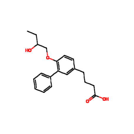 CCC(O)COc1ccc(CCCC(=O)O)cc1-c1ccccc1